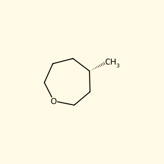 C[C@H]1CCCOCC1